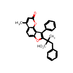 Cc1cc(=O)oc2c1ccc1oc(C(C)(Cc3ccccc3)C(=O)O)c(-c3ccccc3)c12